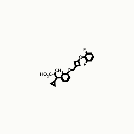 C[C@H](C(=O)O)C(c1cccc(OCC2CC(Oc3c(F)cccc3F)C2)c1)C1CC1